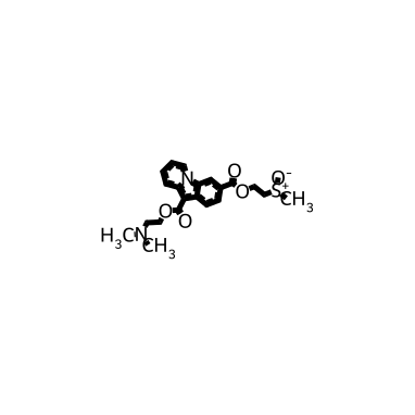 CN(C)CCOC(=O)c1c2ccc(C(=O)OCC[S+](C)[O-])cc2n2ccccc12